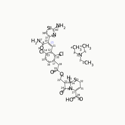 CCN(CC)CC.NC(=O)/C(=C\c1c(Cl)ccc(CC(=O)OCC2C(=O)N3C(C(=O)O)=CCS[C@@H]23)c1Cl)c1csc(N)n1